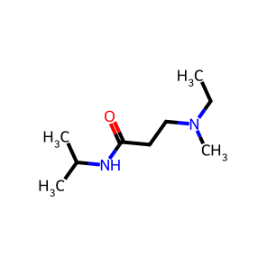 CCN(C)CCC(=O)NC(C)C